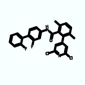 Cc1ccc(C)c(-c2cc(Cl)nc(Cl)c2)c1C(=O)Nc1ccc(-c2ccccc2F)c(F)c1